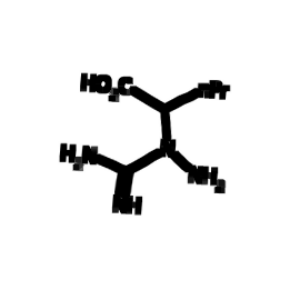 CCCC(C(=O)O)N(N)C(=N)N